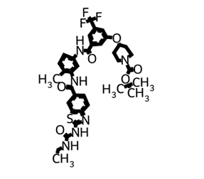 CCNC(=O)Nc1nc2ccc(C(=O)Nc3cc(NC(=O)c4cc(OC5CCN(C(=O)OC(C)(C)C)CC5)cc(C(F)(F)F)c4)ccc3C)cc2s1